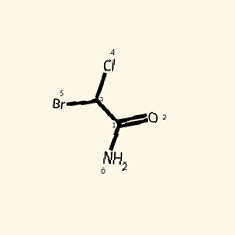 NC(=O)C(Cl)Br